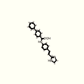 Cl.O=C(Nc1ccc(/C=C/C2=NCCN2)cc1)c1ccc(-c2ccccc2)cc1